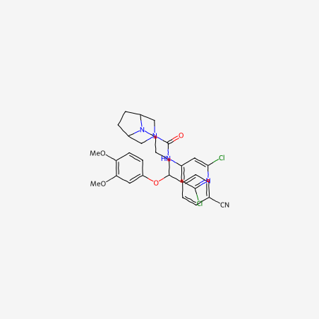 COc1ccc(OC(CCCN2C3CCC2CN(C(=O)Nc2cc(Cl)nc(Cl)c2)C3)c2ccc(C#N)cc2)cc1OC